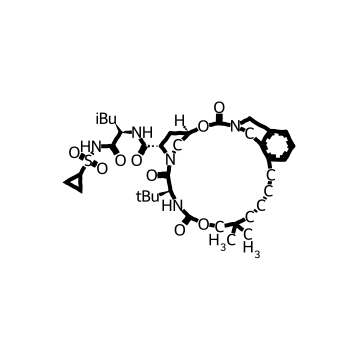 CC[C@H](C)[C@@H](NC(=O)[C@@H]1C[C@@H]2CN1C(=O)[C@H](C(C)(C)C)NC(=O)OCC(C)(C)CCCCc1cccc3c1CN(C3)C(=O)O2)C(=O)NS(=O)(=O)C1CC1